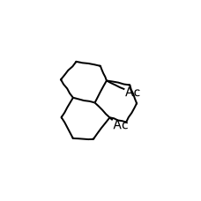 CC(=O)C12CCCC3CCCC(C(C)=O)(CCC1)C32